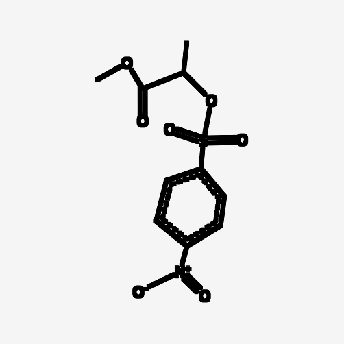 COC(=O)C(C)OS(=O)(=O)c1ccc([N+](=O)[O-])cc1